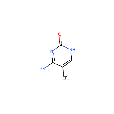 [NH]c1nc(=O)[nH]cc1C(F)(F)F